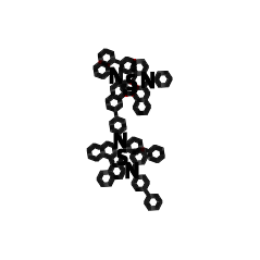 c1ccc(-c2ccc(N(c3ccccc3)c3cc4ccccc4c4c3sc3c(N(c5ccc(-c6ccccc6)cc5)c5ccc(-c6ccc7cc(N(c8ccccc8)c8ccccc8-c8ccccc8)c8sc9c(N(c%10ccccc%10)c%10ccccc%10-c%10ccccc%10)cc%10ccccc%10c9c8c7c6)cc5)cc5ccccc5c34)cc2)cc1